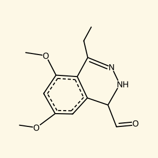 CCC1=NNC(C=O)c2cc(OC)cc(OC)c21